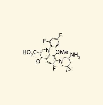 COc1c(N2CC(N)CC3(CC3)C2)c(F)cc2c(=O)c(C(=O)O)cn(-c3ccc(F)cc3F)c12